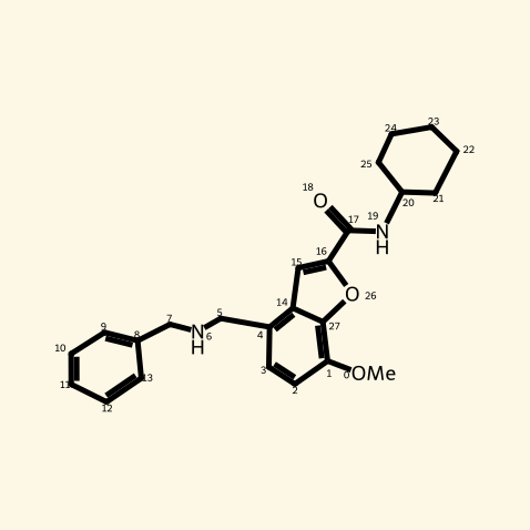 COc1ccc(CNCc2ccccc2)c2cc(C(=O)NC3CCCCC3)oc12